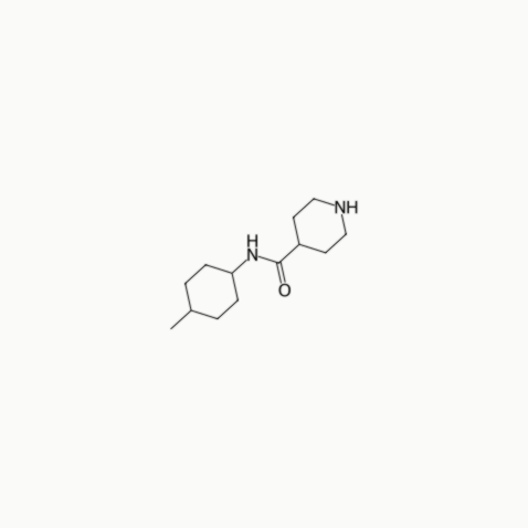 CC1CCC(NC(=O)C2CCNCC2)CC1